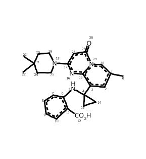 Cc1cc(C2(Nc3ccccc3C(=O)O)CC2)c2nc(N3CCC(C)(C)CC3)cc(=O)n2c1